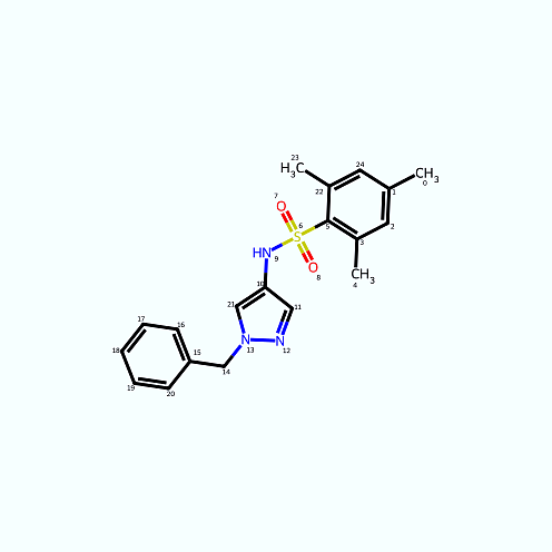 Cc1cc(C)c(S(=O)(=O)Nc2cnn(Cc3ccccc3)c2)c(C)c1